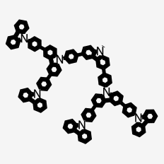 Cn1c2ccc(-c3ccc(-n4c5ccc(-c6ccc(-n7c8ccccc8c8ccccc87)cc6)cc5c5cc(-c6ccc(-n7c8ccccc8c8ccccc87)cc6)ccc54)cc3)cc2c2cc(-c3ccc(-n4c5ccc(-c6ccc(-n7c8ccccc8c8ccccc87)cc6)cc5c5cc(-c6ccc(-n7c8ccccc8c8ccccc87)cc6)ccc54)cc3)ccc21